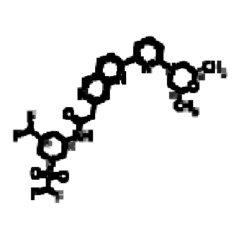 C[C@@H]1CN(c2cccc(-c3ccc4cnc(CC(=O)N[C@@H]5C[C@H](C(F)F)CN(S(=O)(=O)C(F)F)C5)cc4n3)n2)C[C@H](C)O1